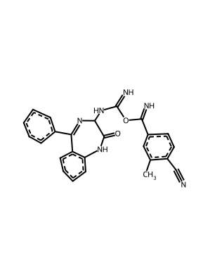 Cc1cc(C(=N)OC(=N)NC2N=C(c3ccccc3)c3ccccc3NC2=O)ccc1C#N